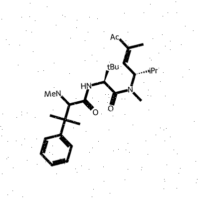 CNC(C(=O)N[C@H](C(=O)N(C)[C@H](/C=C(\C)C(C)=O)C(C)C)C(C)(C)C)C(C)(C)c1ccccc1